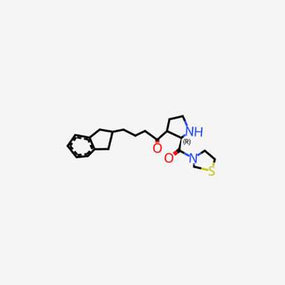 O=C(CCCC1Cc2ccccc2C1)C1CCN[C@H]1C(=O)N1CCSC1